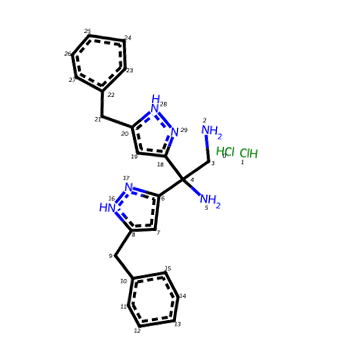 Cl.Cl.NCC(N)(c1cc(Cc2ccccc2)[nH]n1)c1cc(Cc2ccccc2)[nH]n1